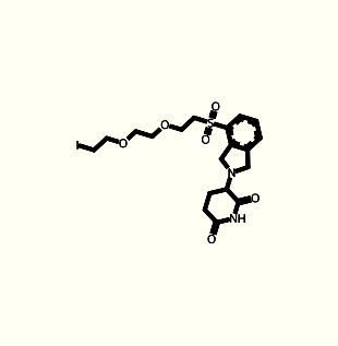 O=C1CCC(N2Cc3cccc(S(=O)(=O)CCOCCOCCI)c3C2)C(=O)N1